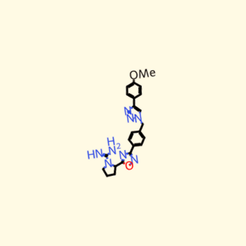 COc1ccc(-c2cn(Cc3ccc(-c4noc(C5CCCN5C(=N)N)n4)cc3)nn2)cc1